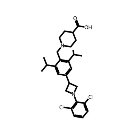 CC(C)c1cc(C2CN(c3c(Cl)cccc3Cl)C2)cc(C(C)C)c1CN1CCC(C(=O)O)CC1